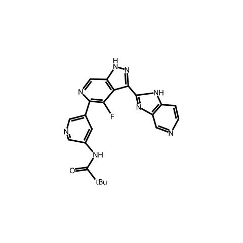 CC(C)(C)C(=O)Nc1cncc(-c2ncc3[nH]nc(-c4nc5cnccc5[nH]4)c3c2F)c1